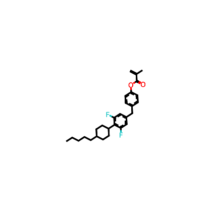 C=C(C)C(=O)Oc1ccc(Cc2cc(F)c(C3CCC(CCCCC)CC3)c(F)c2)cc1